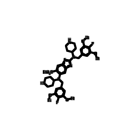 CCOC(=O)c1cc2sc(N(Cc3cc(OCC)c(F)c(OCC)c3)C3CCNCC3)nc2cc1N(Cc1cc(OCC)c(F)c(OCC)c1)C1CCNCC1